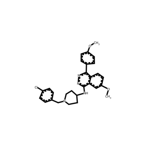 COc1ccc(-c2nnc(NC3CCN(Cc4ccc(Cl)cc4)CC3)c3cc(OC)ccc23)cc1